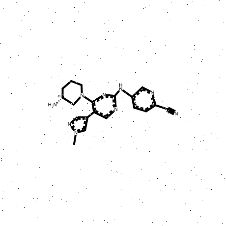 Cn1cc(-c2cnc(Nc3ccc(C#N)nc3)nc2N2CCC[C@@H](N)C2)cn1